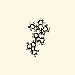 c1ccc(-n2c3ccccc3c3c4ccc5c(c6ccccc6n5-c5cc6c7c(cccc7c5)-c5ccccc5-6)c4c4nc5ccccc5n4c32)cc1